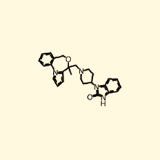 CC1(CN2CCC(n3c(=O)[nH]c4ccccc43)CC2)OCc2ccccc2-n2cccc21